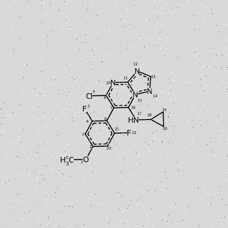 COc1cc(F)c(-c2c(Cl)nc3ncnn3c2NC2CC2)c(F)c1